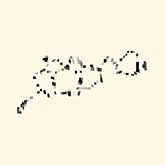 CC1(C)c2ccc(C#N)cc2Nc2ccc(CN3CCNCC3)cc21